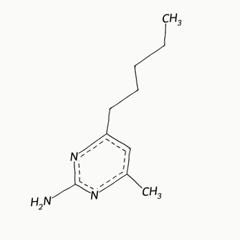 CCCCCc1cc(C)nc(N)n1